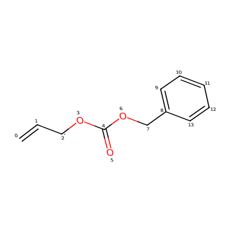 C=C[CH]OC(=O)OCc1ccccc1